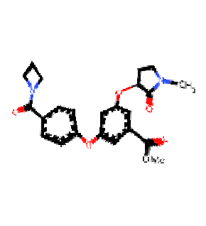 COC(=O)c1cc(Oc2ccc(C(=O)N3CCC3)cc2)cc(O[C@H]2CCN(C)C2=O)c1